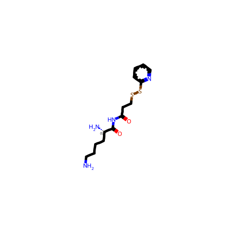 NCCCC[C@H](N)C(=O)NC(=O)CCSSc1ccccn1